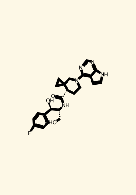 O=C(N[C@H](CO)[C@H](O)c1ccc(F)cc1)[C@H]1CCN(c2ncnc3[nH]ccc23)CC12CC2